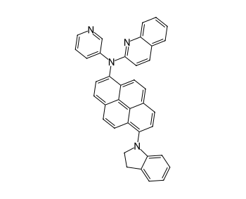 c1cncc(N(c2ccc3ccccc3n2)c2ccc3ccc4c(N5CCc6ccccc65)ccc5ccc2c3c54)c1